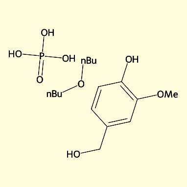 CCCCOCCCC.COc1cc(CO)ccc1O.O=P(O)(O)O